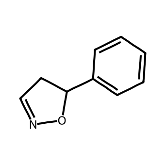 C1=NOC(c2ccccc2)C1